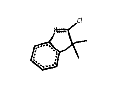 CC1(C)C(Cl)=Nc2ccccc21